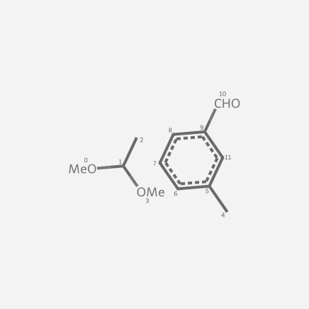 COC(C)OC.Cc1cccc(C=O)c1